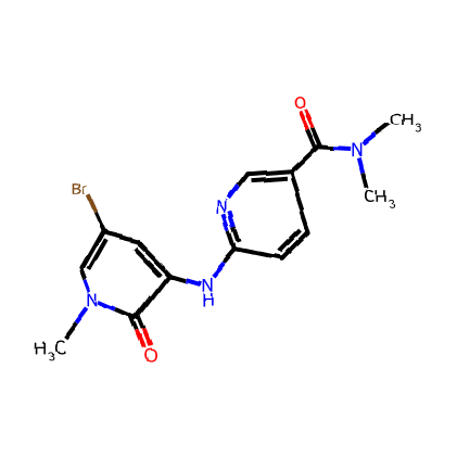 CN(C)C(=O)c1ccc(Nc2cc(Br)cn(C)c2=O)nc1